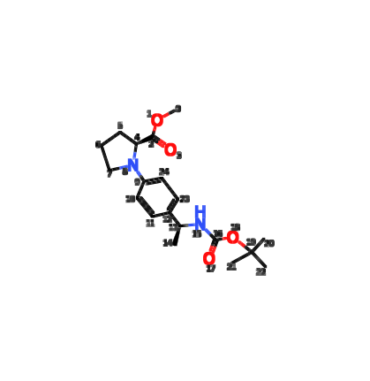 COC(=O)[C@@H]1CCCN1c1ccc([C@H](C)NC(=O)OC(C)(C)C)cc1